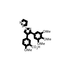 COc1ccc(-c2csnc2-c2cc(OC)c(OC)c(OC)c2)cc1C(=O)O.c1cnsc1